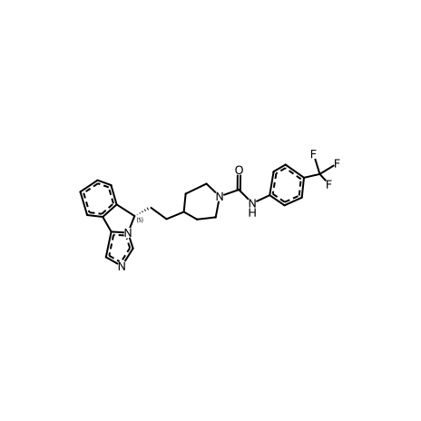 O=C(Nc1ccc(C(F)(F)F)cc1)N1CCC(CC[C@H]2c3ccccc3-c3cncn32)CC1